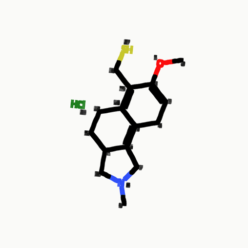 COC1=CCC2=C3CN(C)CC3CCC2=C1CS.Cl